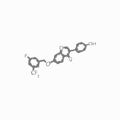 O=c1c(-c2ccc(O)cc2)coc2cc(OCc3cc(F)cc(C(F)(F)F)c3)ccc12